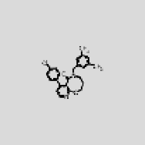 O=C1c2c(-c3ccc(Cl)cc3)ccnc2OCCCN1Cc1cc(C(F)(F)F)cc(C(F)(F)F)c1